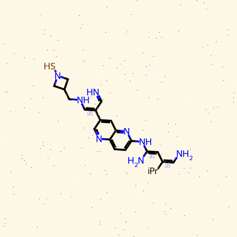 CC(C)C(=C/N)/C=C(\N)Nc1ccc2ncc(/C(C=N)=C/NCC3CN(S)C3)cc2n1